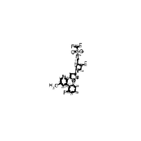 Cc1cnc([C@@H]2CC(N3CC(C#[N+]S(=O)(=O)C(F)F)[C@@H](F)C3)=NO2)c(-c2c(F)cccc2F)c1